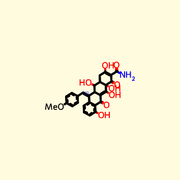 COc1ccc(/C=C2\c3cccc(O)c3C(=O)C3=C(O)C4(O)C(=O)C(C(N)=O)=C(O)CC4C(O)C32)cc1